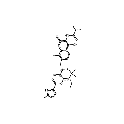 CO[C@@H]1[C@@H](OC(=O)c2ccc(C)[nH]2)[C@@H](O)[C@H](Oc2ccc3c(O)c(NC(=O)C(C)C)c(=O)oc3c2C)OC1(C)C